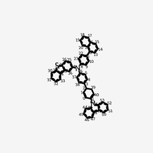 C1=CC(c2ccc(N(c3ccc(-c4cccc5ccccc45)cc3)c3ccc4sc5ccccc5c4c3)cc2)CC=C1n1c2ccccc2c2ccccc21